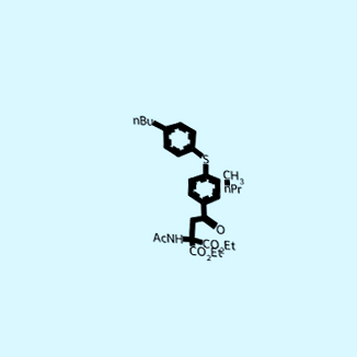 CCCC.CCCCc1ccc(Sc2ccc(C(=O)CC(NC(C)=O)(C(=O)OCC)C(=O)OCC)cc2)cc1